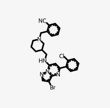 N#Cc1ccccc1CN1CCCC(CNc2cc(-c3ccccc3Cl)nc3c(Br)cnn23)C1